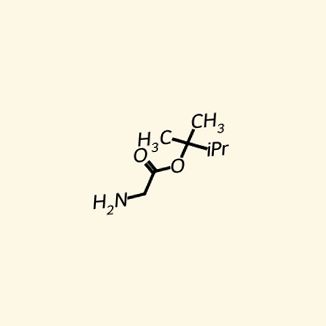 CC(C)C(C)(C)OC(=O)CN